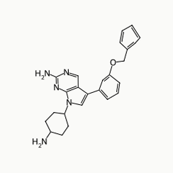 Nc1ncc2c(-c3cccc(OCc4ccccc4)c3)cn(C3CCC(N)CC3)c2n1